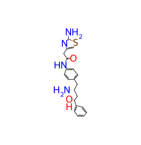 Nc1nc(CC(=O)Nc2ccc(C[C@@H](N)C[C@@H](O)c3ccccc3)cc2)cs1